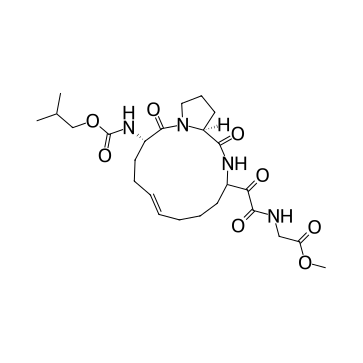 COC(=O)CNC(=O)C(=O)C1CCC/C=C/CC[C@H](NC(=O)OCC(C)C)C(=O)N2CCC[C@H]2C(=O)N1